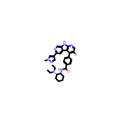 CCN(CC)[C@H]1CCCC[C@@H]1NC(=O)c1ccc(-c2c(F)cnc3[nH]c4cnc(-c5cnn(C)c5)cc4c23)cc1